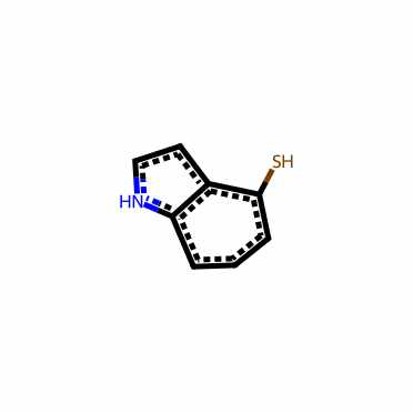 Sc1cccc2[nH]ccc12